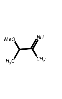 [CH2]C(=N)C(C)OC